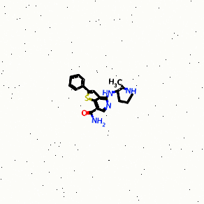 CC1NCCCC1Nc1ncc(C(N)=O)c2sc(-c3ccccc3)cc12